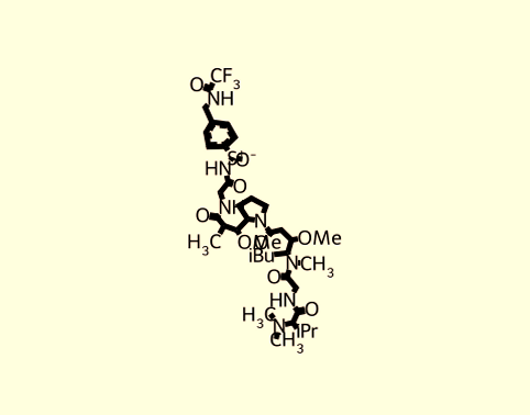 CCC(C)C(C(CC(=O)N1CCCC1C(OC)C(C)C(=O)NCC(=O)N[S+]([O-])c1ccc(CNC(=O)C(F)(F)F)cc1)OC)N(C)C(=O)CNC(=O)C(C(C)C)N(C)C